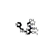 CC1=CS/C(=C(/N)c2nc(NCCc3cccnc3)ncc2C)N1